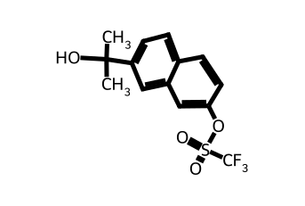 CC(C)(O)c1ccc2ccc(OS(=O)(=O)C(F)(F)F)cc2c1